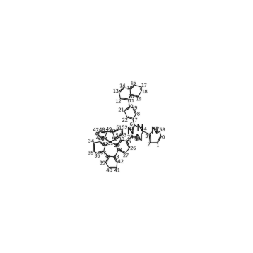 c1ccc(-c2nc(-c3ccc(-c4cccc5ccccc45)cc3)nc(-c3ccc4c(c3)C3(c5ccccc5-c5ccccc5-4)c4ccccc4-c4ccccc43)n2)nc1